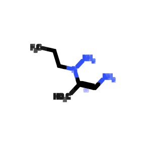 N/C=C(/C(=O)O)N(N)CCC(F)(F)F